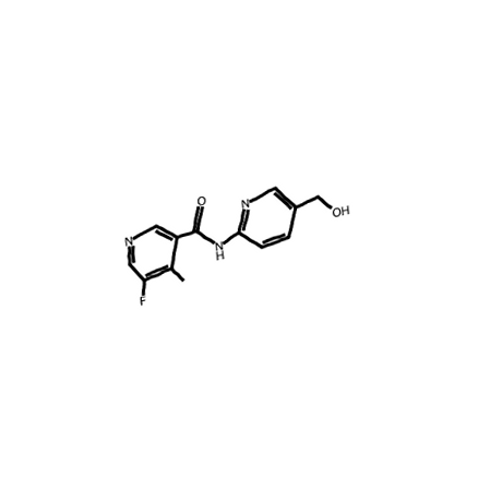 Cc1c(F)cncc1C(=O)Nc1ccc(CO)cn1